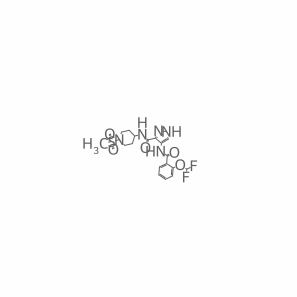 CS(=O)(=O)N1CCC(NC(=O)c2n[nH]cc2NC(=O)c2ccccc2OC(F)F)CC1